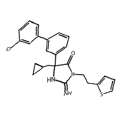 N=C1NC(c2cccc(-c3cccc(Cl)c3)c2)(C2CC2)C(=O)N1CCc1cccs1